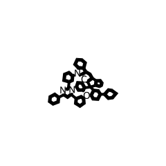 c1ccc(-c2ccc3c(c2)C2(c4ccccc4O3)c3ccccc3-c3cc4c5ccccc5n(-c5cccc(-c6nc(-c7ccccc7)cc(-c7ccccc7)n6)c5)c4cc32)cc1